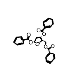 O=C(OC[C@H]1O[C@H](OC(=O)c2ccccc2)C[C@@H]1OC(=O)c1ccccc1)c1ccccc1